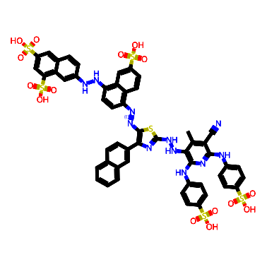 Cc1c(C#N)c(Nc2ccc(S(=O)(=O)O)cc2)nc(Nc2ccc(S(=O)(=O)O)cc2)c1NNc1nc(-c2ccc3ccccc3c2)c(/N=N/c2ccc(NNc3ccc4cc(S(=O)(=O)O)cc(S(=O)(=O)O)c4c3)c3cc(S(=O)(=O)O)ccc23)s1